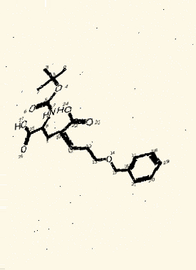 CC(C)(C)OC(=O)NC(CC(=CCCOCc1ccccc1)C(=O)O)C(=O)O